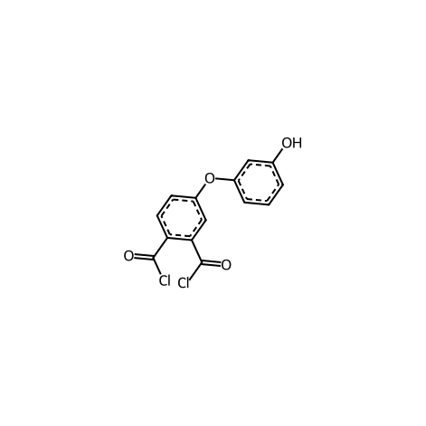 O=C(Cl)c1ccc(Oc2cccc(O)c2)cc1C(=O)Cl